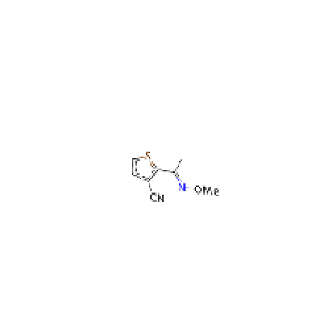 CO/N=C(\C)c1sccc1C#N